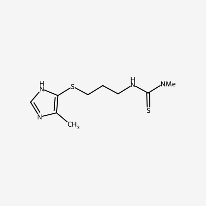 CNC(=S)NCCCSc1[nH]cnc1C